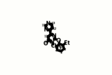 CCC1CCCCC1Oc1nc(-c2ccncn2)cc(=O)n1C